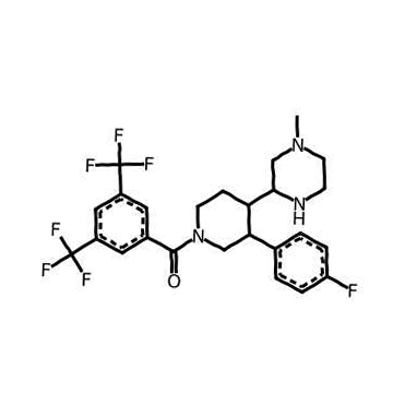 CN1CCNC(C2CCN(C(=O)c3cc(C(F)(F)F)cc(C(F)(F)F)c3)CC2c2ccc(F)cc2)C1